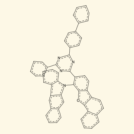 c1ccc(-c2ccc(-c3nc(-c4ccccc4)nc(-c4ccc5c(oc6c7ccccc7ccc56)c4-n4c5ccccc5c5cc6ccccc6cc54)n3)cc2)cc1